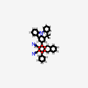 CC1(C)c2ccccc2-n2c3ccccc3c3cc(-c4cc(C#N)cc5c4C4c6ccccc6C5c5c(-c6ccccc6)cc(C#N)cc54)cc1c32